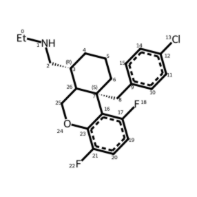 CCNC[C@@H]1CCC[C@@]2(Cc3ccc(Cl)cc3)c3c(F)ccc(F)c3OCC12